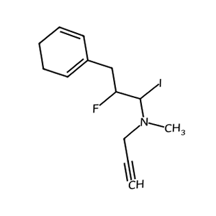 C#CCN(C)C(I)C(F)CC1=CCCC=C1